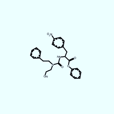 O=C(Oc1ccccc1)C(Cc1ccc([N+](=O)[O-])cc1)NC(=O)N(CCO)CCc1ccccc1